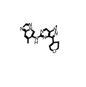 Cc1cc2ncnn2cc1Nc1ncc2c(n1)c(C1=CCOCC1)nn2C